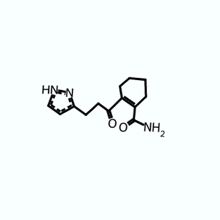 NC(=O)C1=C(C(=O)CCc2cc[nH]n2)CCCC1